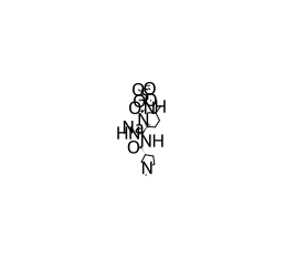 CN1CC[C@@H](C(=O)NC(=N)[C@@H]2CC[C@@H]3CN2C(=O)N3OS(=O)(=O)[O-])C1.[Na+]